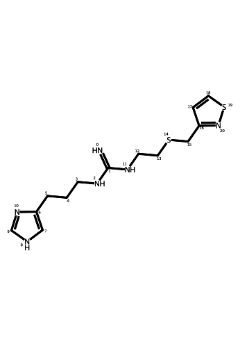 N=C(NCCCc1c[nH]cn1)NCCSCc1ccsn1